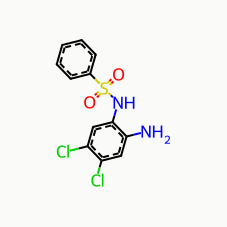 Nc1cc(Cl)c(Cl)cc1NS(=O)(=O)c1ccccc1